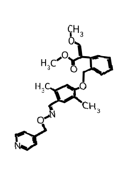 COC=C(C(=O)OC)c1ccccc1COc1cc(C)c(C=NOCc2ccncc2)cc1C